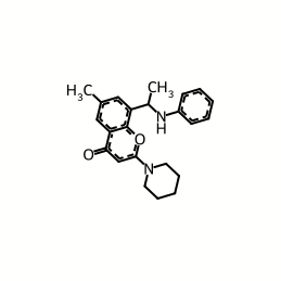 Cc1cc(C(C)Nc2ccccc2)c2oc(N3CCCCC3)cc(=O)c2c1